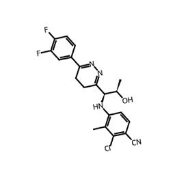 Cc1c(N[C@@H](C2=NN=C(c3ccc(F)c(F)c3)CC2)[C@@H](C)O)ccc(C#N)c1Cl